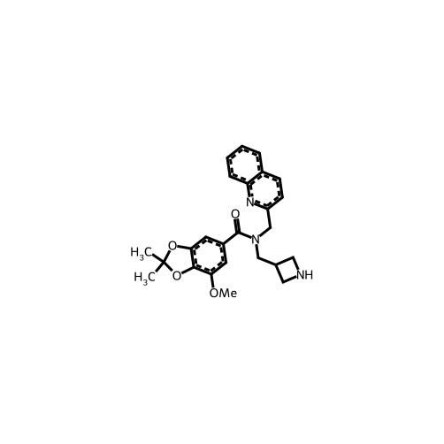 COc1cc(C(=O)N(Cc2ccc3ccccc3n2)CC2CNC2)cc2c1OC(C)(C)O2